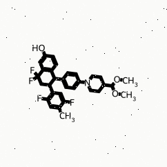 COC(OC)C1CCN(c2ccc(C3c4ccc(O)cc4C(F)(F)CC3c3cc(F)c(C)cc3F)cc2)CC1